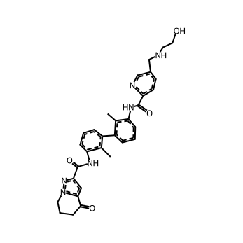 Cc1c(NC(=O)c2ccc(CNCCO)cn2)cccc1-c1cccc(NC(=O)c2cc3n(n2)CCCC3=O)c1C